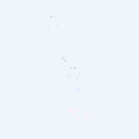 O=P(O)(O)CCCNCc1ccc(C#CCCCCc2ccccc2)c(F)c1